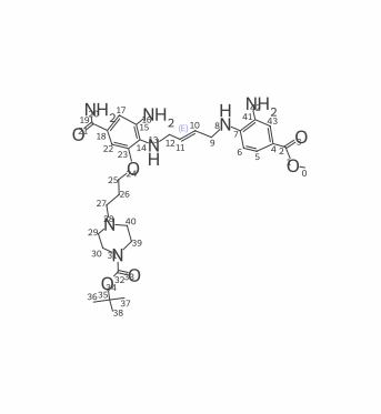 COC(=O)c1ccc(NC/C=C/CNc2c(N)cc(C(N)=O)cc2OCCCN2CCN(C(=O)OC(C)(C)C)CC2)c(N)c1